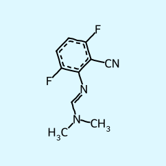 CN(C)C=Nc1c(F)ccc(F)c1C#N